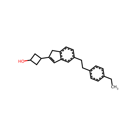 CCc1ccc(CCc2ccc3c(c2)C=C(C2CC(O)C2)C3)cc1